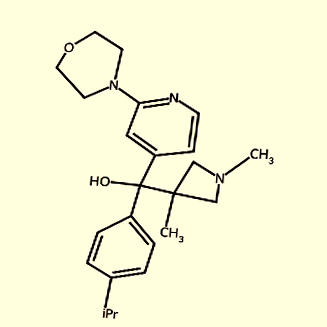 CC(C)c1ccc(C(O)(c2ccnc(N3CCOCC3)c2)C2(C)CN(C)C2)cc1